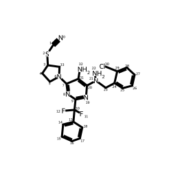 N#CSC1CCN(c2nc(C(F)(F)c3ccccc3)nc(N(N)Cc3ccccc3Cl)c2N)C1